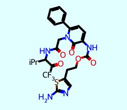 CC(C)C(NC(=O)Cn1c(-c2ccccc2)ccc(NC(=O)OCCc2cnc(N)s2)c1=O)C(=O)C(F)(F)F